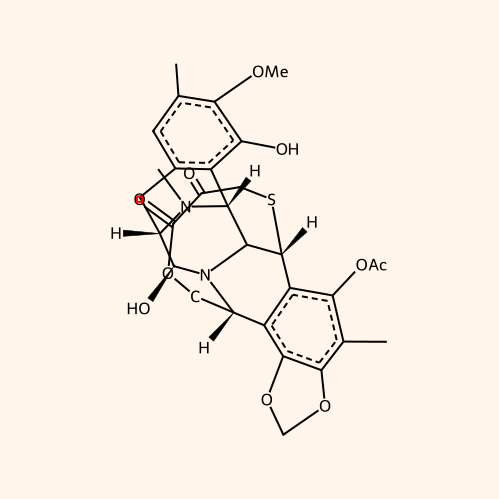 COc1c(C)cc2c(c1O)[C@@H]1C3[C@@H]4SCC(=O)C(=O)OC[C@@H](c5c6c(c(C)c(OC(C)=O)c54)OCO6)N3[C@@H](O)[C@H](C2)N1C